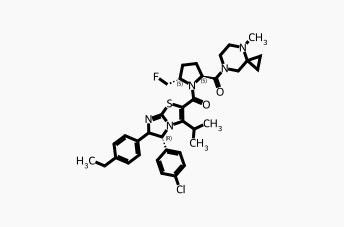 CCc1ccc(C2N=C3SC(C(=O)N4[C@H](CF)CC[C@H]4C(=O)N4CCN(C)C5(CC5)C4)=C(C(C)C)N3[C@@H]2c2ccc(Cl)cc2)cc1